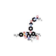 Cc1ccc(S(=O)(=O)n2ccc3c(-c4cc(C(C)(C)O)ccc4OC4CCC(N5CC(OC6CCN(C(=O)C(F)(F)F)CC6)C5)CC4)cn(C)c(=O)c32)cc1